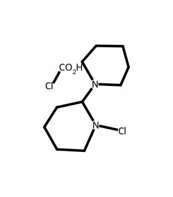 ClN1CCCCC1N1CCCCC1.O=C(O)Cl